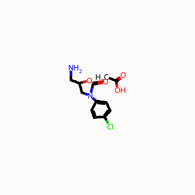 CC(=O)O.NCC1CN(c2ccc(Cl)cc2)C(=O)O1